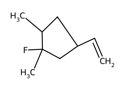 C=CC1CC(C)C(C)(F)C1